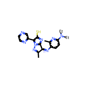 CCN(CC)c1ccc(/N=C2/C(C)=Nn3c2nc(S)c3-c2cnccn2)c(C)n1